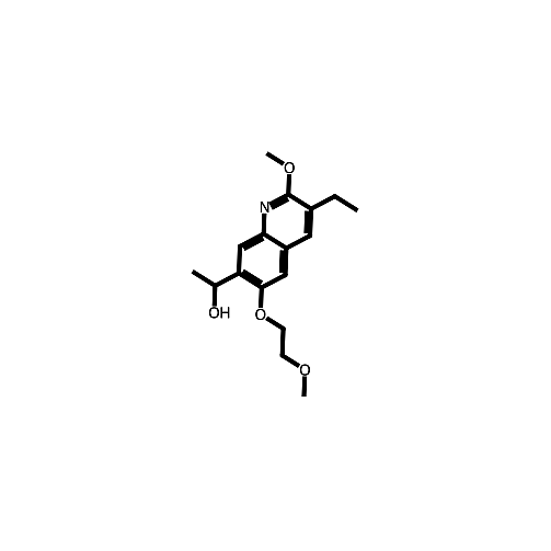 CCc1cc2cc(OCCOC)c(C(C)O)cc2nc1OC